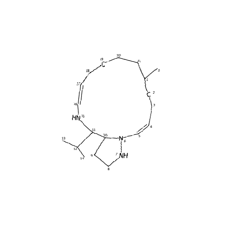 CC1CC/C=C\N2NCCC2C(C(C)C)N/C=C\CCCC1